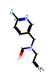 C=CCN(C=O)Cc1ccc(Cl)nc1